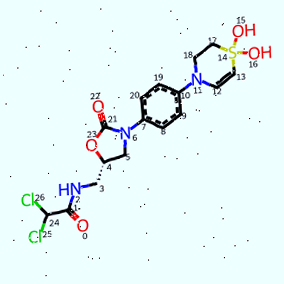 O=C(NC[C@H]1CN(c2ccc(N3C=CS(O)(O)CC3)cc2)C(=O)O1)C(Cl)Cl